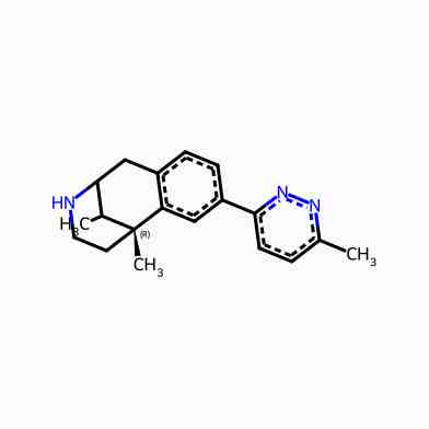 Cc1ccc(-c2ccc3c(c2)[C@]2(C)CCNC(C3)C2C)nn1